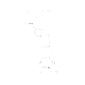 CC[C@H](CO)C(=O)N1CC2(CCC(Oc3ccc(Cl)c(C)n3)CC2)C1